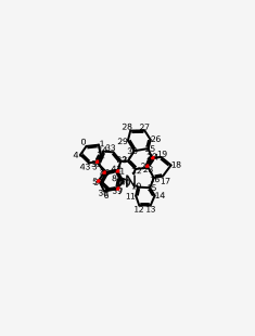 c1ccc(-c2cccc(N(c3ccccc3-c3ccccc3)c3ccc4ccccc4c3-c3cccc4ccccc34)c2)cc1